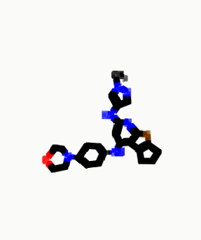 Cn1cc(Nc2cc(N[C@H]3CC[C@H](N4CCOCC4)CC3)c3c4c(sc3n2)CCC4)cn1